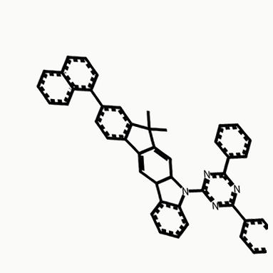 CC1(C)C2=CC3C(C=C2c2ccc(-c4cccc5ccccc45)cc21)c1ccccc1N3c1nc(-c2ccccc2)nc(-c2ccccc2)n1